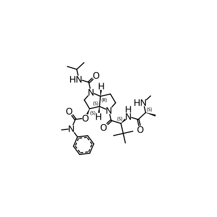 CN[C@@H](C)C(=O)N[C@H](C(=O)N1CC[C@@H]2[C@H]1[C@@H](OC(=O)N(C)c1ccccc1)CN2C(=O)NC(C)C)C(C)(C)C